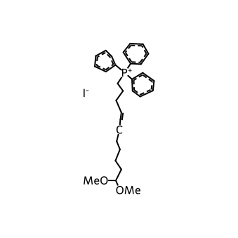 COC(CCCCCC=CCCC[P+](c1ccccc1)(c1ccccc1)c1ccccc1)OC.[I-]